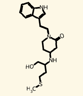 CSCCC(CO)NC1CCN(CCc2c[nH]c3ccccc23)C(=O)C1